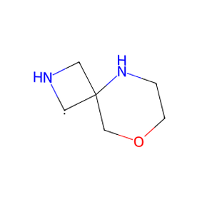 [CH]1NCC12COCCN2